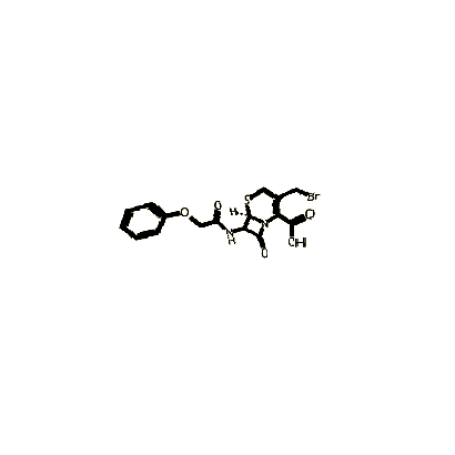 O=C(COc1ccccc1)NC1C(=O)N2C(C(=O)O)=C(CBr)CS[C@H]12